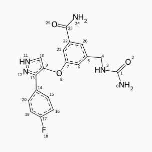 NC(=O)NCc1cc(Oc2c[nH]nc2-c2ccc(F)cc2)cc(C(N)=O)c1